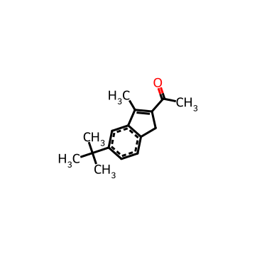 CC(=O)C1=C(C)c2cc(C(C)(C)C)ccc2C1